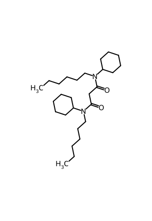 CCCCCCN(C(=O)CC(=O)N(CCCCCC)C1CCCCC1)C1CCCCC1